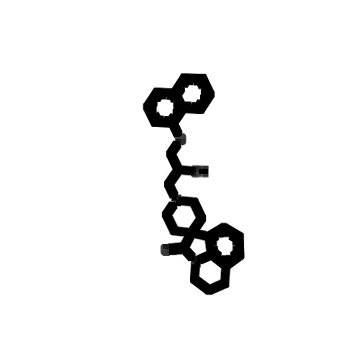 O=C1N2CCCc3cccc(c32)C12CCN(CC(O)COc1cccc3ccccc13)CC2